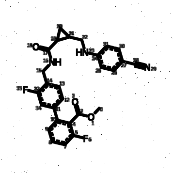 COC(=O)c1c(F)cccc1-c1ccc(CNC(=O)C2CC2CNc2ccc(C#N)cc2)c(F)c1